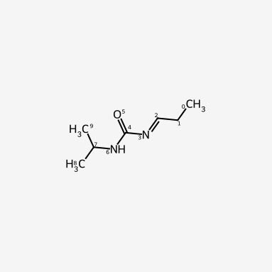 CCC=NC(=O)NC(C)C